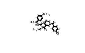 COc1ccc(C(C)Nc2nc3c(c(=O)n2OC)CN(C(=O)c2ccc(Cl)cc2)CC3)cc1